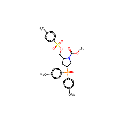 COc1ccc(P(=O)(c2ccc(OC)cc2)[C@H]2C[C@@H](COS(=O)(=O)c3ccc(C)cc3)N(C(=O)OC(C)(C)C)C2)cc1